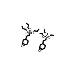 CCCO[Si](CCC1CCC2OC2C1)(OCCC)OCCC.CCO[Si](CCC1CCC2OC2C1)(OCC)OCC